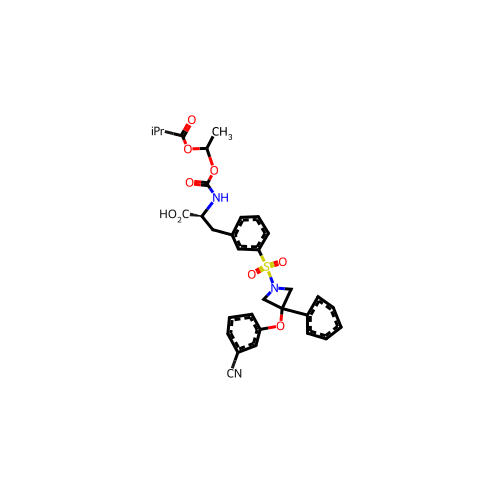 CC(OC(=O)N[C@@H](Cc1cccc(S(=O)(=O)N2CC(Oc3cccc(C#N)c3)(c3ccccc3)C2)c1)C(=O)O)OC(=O)C(C)C